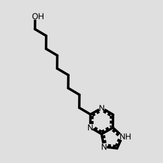 OCCCCCCCCCc1ncc2[nH]cnc2n1